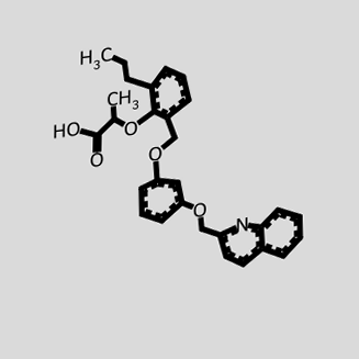 CCCc1cccc(COc2cccc(OCc3ccc4ccccc4n3)c2)c1OC(C)C(=O)O